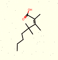 CCCCC(C)(C)C(C)=C(C)C(=O)O